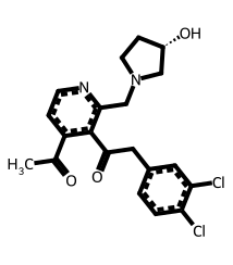 CC(=O)c1ccnc(CN2CC[C@H](O)C2)c1C(=O)Cc1ccc(Cl)c(Cl)c1